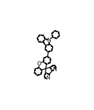 c1ccc(-n2c3ccccc3c3cc(-c4ccc5c(c4)Oc4ccccc4C54c5cccnc5-c5ncccc54)ccc32)cc1